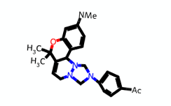 CNc1ccc2c(c1)OC(C)(C)C1=CCN3CN(c4ccc(C(C)=O)cc4)CN3C12